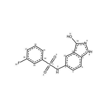 O=S(=O)(Nc1ccc2[nH]nc(O)c2c1)c1cccc(F)c1